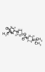 CC(C)N1CCN(C(=O)OC2CCN(c3ccc(=O)n(C)n3)CC2)CC1